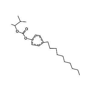 CCCCCCCCCCc1ccc(OC(=O)OC(C)C(C)C)cc1